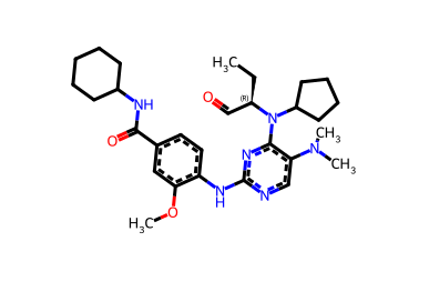 CC[C@H](C=O)N(c1nc(Nc2ccc(C(=O)NC3CCCCC3)cc2OC)ncc1N(C)C)C1CCCC1